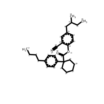 CCCCc1ccc(C2(C(=O)Oc3ccc(CC(C)CC)cc3C#N)CCCCC2)cc1